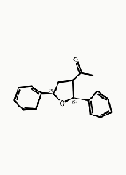 CC(=O)C1C[C@H](c2ccccc2)O[C@@H]1c1ccccc1